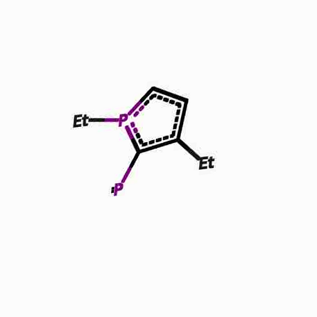 CCc1ccp(CC)c1[P]